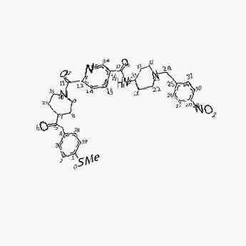 CSc1ccc(C(=O)C2CCN(C(=O)c3ccc(C(=O)NC4CCN(Cc5ccc([N+](=O)[O-])cc5)CC4)cn3)CC2)cc1